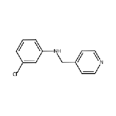 Clc1cccc(NCc2ccncc2)c1